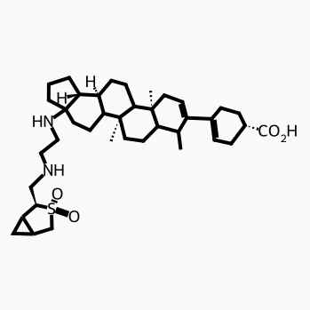 CC1C(C2=CC[C@@H](C(=O)O)CC2)=CC[C@@]2(C)C1CC[C@@]1(C)C3CCC4(NCCNC[C@@H]5C6CC6CS5(=O)=O)CCC[C@@H]4[C@H]3CCC21